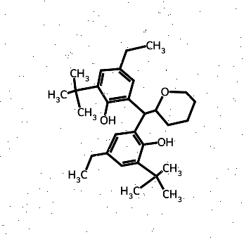 CCc1cc(C(c2cc(CC)cc(C(C)(C)C)c2O)C2CCCCO2)c(O)c(C(C)(C)C)c1